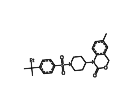 CCC(C)(C)c1ccc(S(=O)(=O)N2CCC(N3C(=O)OCc4cc(C)ccc43)CC2)cc1